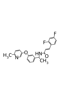 Cc1ccc(Oc2cccc([C@H](C)NC(=O)C=Cc3ccc(F)cc3F)c2)cn1